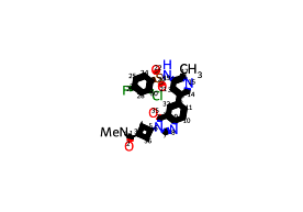 CNC(=O)[C@H]1C[C@@H](n2cnc3ccc(-c4cnc(C)c(NS(=O)(=O)c5ccc(F)cc5Cl)c4)cc3c2=O)C1